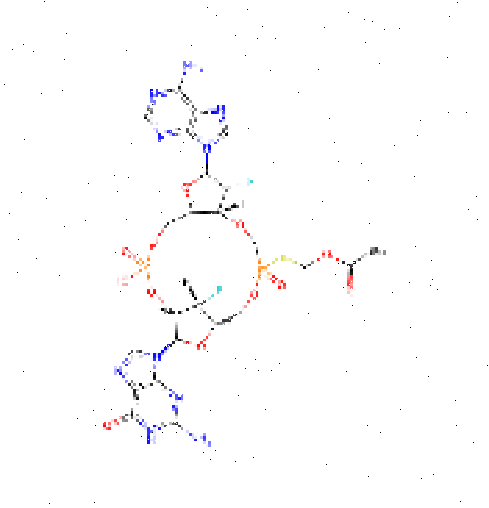 CC(C)(C)C(=O)OCSP1(=O)CO[C@@H]2C(COP(=O)(O)O[C@@H]3[C@H](F)[C@@H](CO1)O[C@H]3n1cnc3c(=O)[nH]c(N)nc31)O[C@@H](n1cnc3c(N)ncnc31)[C@@H]2F